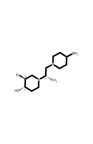 CC[C@H]1CN([C@@H](C)CN2CCC(N)CC2)CC[C@@H]1O